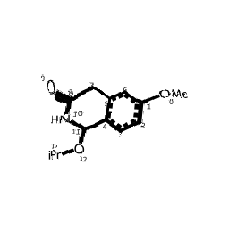 COc1ccc2c(c1)CC(=O)NC2OC(C)C